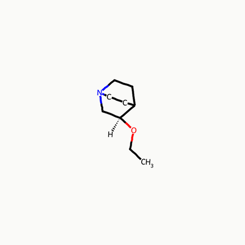 CCO[C@H]1CN2CCC1CC2